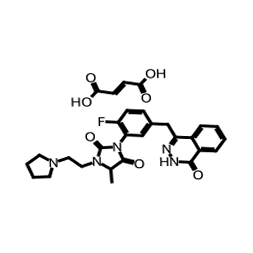 CC1C(=O)N(c2cc(Cc3n[nH]c(=O)c4ccccc34)ccc2F)C(=O)N1CCN1CCCC1.O=C(O)C=CC(=O)O